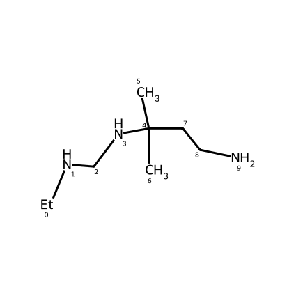 CCNCNC(C)(C)CCN